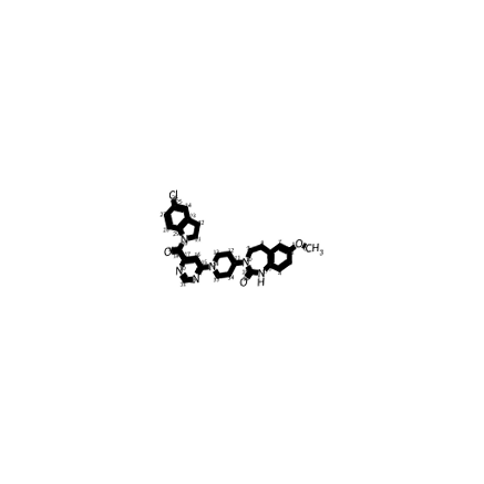 COc1ccc2c(c1)CCN(C1CCN(c3cc(C(=O)N4CCc5cc(Cl)ccc54)ncn3)CC1)C(=O)N2